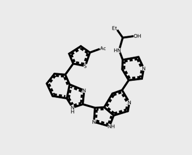 CCC(O)Nc1cncc(-c2cc3c(-c4nc5c(-c6ccc(C(C)=O)s6)cccc5[nH]4)n[nH]c3cn2)c1